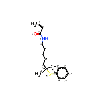 C=CC(=O)NCCCCCC(C)(C)Sc1ccccc1